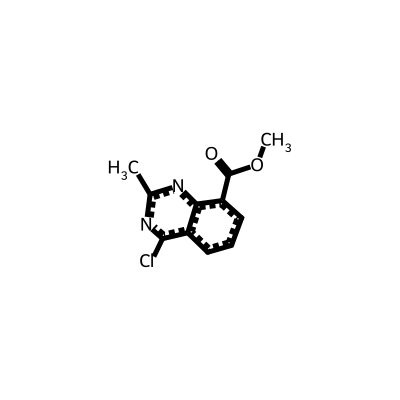 COC(=O)c1cccc2c(Cl)nc(C)nc12